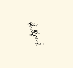 CC(C)(CCCCCc1cc(O)c(CCCCCC2(C(=O)O)CC2)c(O)c1O)C(=O)O